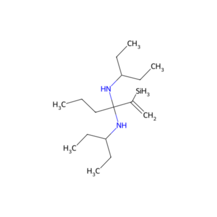 C=C([SiH3])C(CCC)(NC(CC)CC)NC(CC)CC